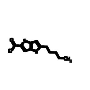 CCCCCc1cc2sc(C(=O)Cl)cc2s1